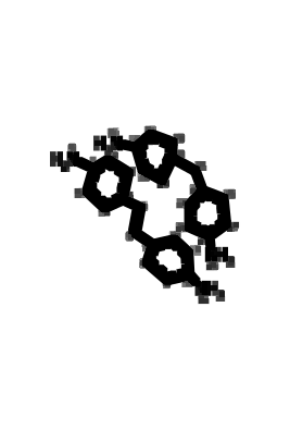 Nc1ccc(C=Cc2ccc(N)cc2)cc1.Nc1ccc(Cc2ccc(N)cc2)cc1